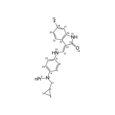 CCCN(CC1CC1)c1ccc(N/C=C2/C(=O)Nc3cc(F)ccc32)cc1